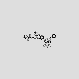 CON(C)C(=O)C(COc1cccc(CN(CCCNC(=O)OC(C)(C)C)C(=O)OC(C)(C)C)c1)NC(=O)OCc1ccccc1